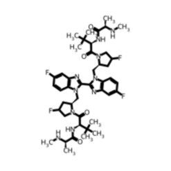 CN[C@H](C)C(=O)N[C@@H](C(=O)N1CC(F)C[C@H]1Cn1c(-c2nc3cc(F)ccc3n2C[C@@H]2CC(F)CN2C(=O)[C@H](NC(=O)[C@@H](C)NC)C(C)(C)C)nc2cc(F)ccc21)C(C)(C)C